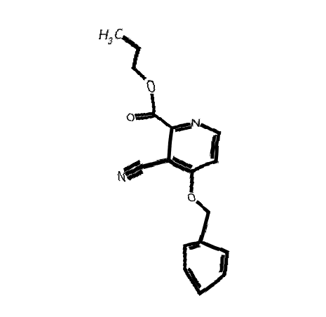 CCCOC(=O)c1nccc(OCc2ccccc2)c1C#N